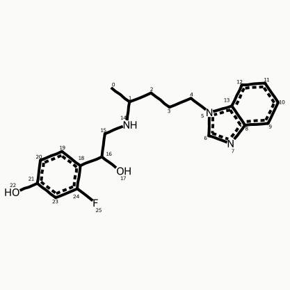 CC(CCCn1cnc2ccccc21)NCC(O)c1ccc(O)cc1F